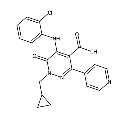 CC(=O)c1c(-c2ccncc2)nn(CC2CC2)c(=O)c1Nc1ccccc1Cl